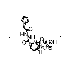 O=C(Cn1cccc1)NNC(=O)[C@@H]1CC[C@@H]2CN1C(=O)N2OS(=O)(=O)O